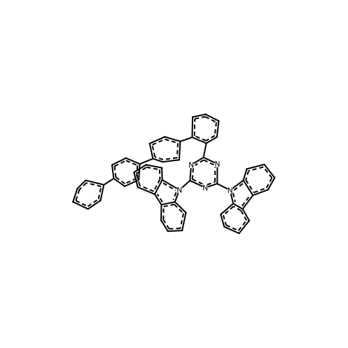 c1ccc(-c2ccc(-c3ccc(-c4ccccc4-c4nc(-n5c6ccccc6c6ccccc65)nc(-n5c6ccccc6c6ccccc65)n4)cc3)cc2)cc1